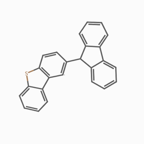 [c]1c(C2c3ccccc3-c3ccccc32)ccc2sc3ccccc3c12